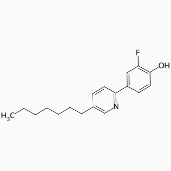 CCCCCCCc1ccc(-c2ccc(O)c(F)c2)nc1